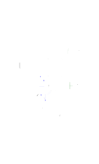 CNC1(c2ncccc2F)CC(F)C1